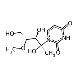 CO[C@H](CO)[C@@H](O)[C@](C)(O)n1ccc(=O)[nH]c1=O